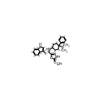 CN(C)C1(c2ccccc2)CCC(N[C@@H](Cc2c[nH]c3ccccc23)c2n[nH]c(=O)o2)CC1.Cl